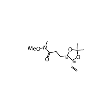 C=C[C@H]1OC(C)(C)O[C@H]1CCC(=O)N(C)OC